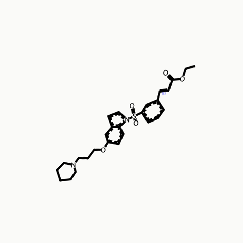 CCOC(=O)/C=C/c1cccc(S(=O)(=O)n2ccc3cc(OCCCN4CCCCC4)ccc32)c1